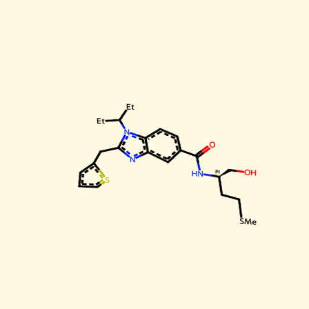 CCC(CC)n1c(Cc2cccs2)nc2cc(C(=O)N[C@@H](CO)CCSC)ccc21